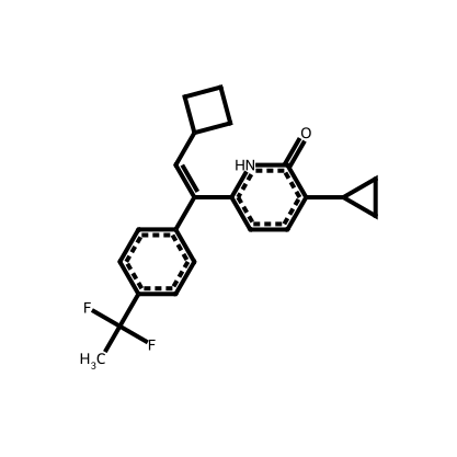 CC(F)(F)c1ccc(/C(=C/C2CCC2)c2ccc(C3CC3)c(=O)[nH]2)cc1